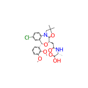 COc1cccc([C@H]2O[C@H](CC(=O)N[C@H](C)C(=O)O)C(=O)N(CC(C)(C)C)c3ccc(Cl)cc32)c1OC